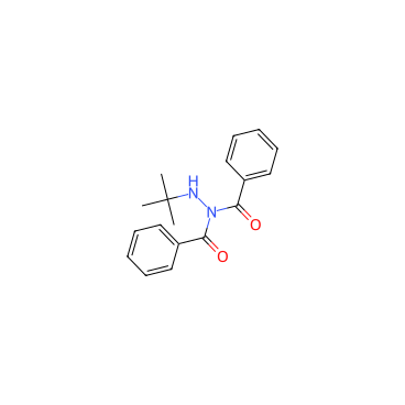 CC(C)(C)NN(C(=O)c1ccccc1)C(=O)c1ccccc1